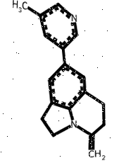 C=C1CCc2cc(-c3cncc(C)c3)cc3c2N1CC3